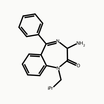 CC(C)CN1C(=O)C(N)N=C(c2ccccc2)c2ccccc21